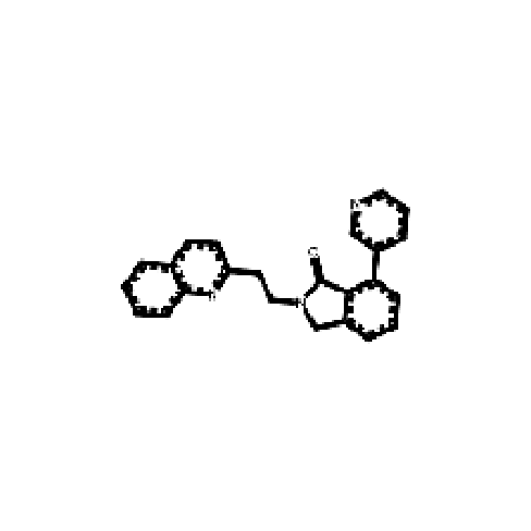 O=C1c2c(cccc2-c2cccnc2)CN1CCc1ccc2ccccc2n1